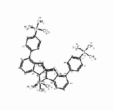 CC1=Cc2c(-c3ccc([Si](C)(C)C)cc3)cccc2[CH]1[Zr]([CH3])([CH3])(=[SiH2])[CH]1C(C)=Cc2c(-c3ccc([Si](C)(C)C)cc3)cccc21